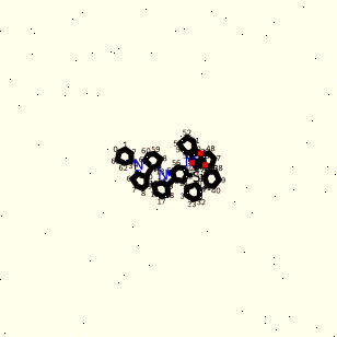 c1ccc(-n2c3ccccc3c3c(-n4c5ccccc5c5cc([Si](c6ccccc6)(c6ccccc6)c6ccccc6)c(-n6c7ccccc7c7ccccc76)cc54)cccc32)cc1